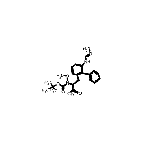 CON(C(=O)OC(C)(C)C)C(Cc1cccc(NC=NN)c1-c1ccccc1)C(=O)O